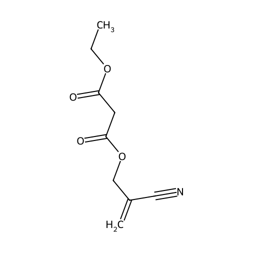 C=C(C#N)COC(=O)CC(=O)OCC